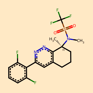 CN([C@@]1(C)CCCc2cc(-c3c(F)cccc3F)nnc21)S(=O)(=O)C(F)(F)F